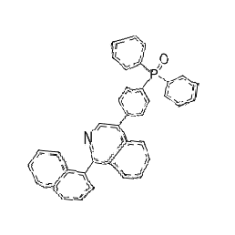 O=P(c1ccccc1)(c1ccccc1)c1ccc(-c2cnc(-c3cccc4ccccc34)c3ccccc23)cc1